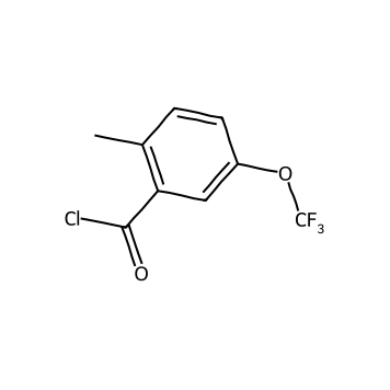 Cc1ccc(OC(F)(F)F)cc1C(=O)Cl